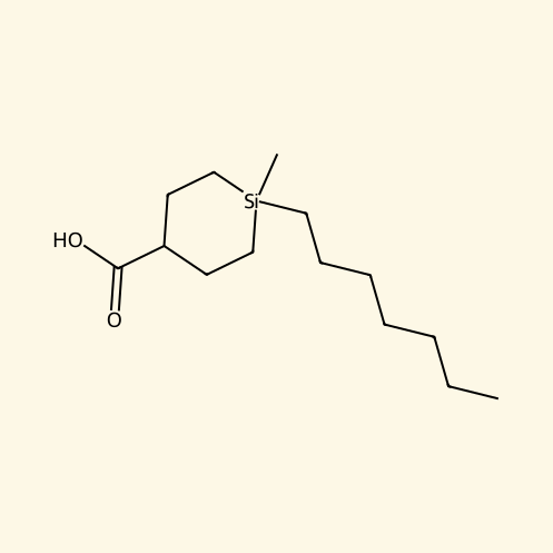 CCCCCCC[Si]1(C)CCC(C(=O)O)CC1